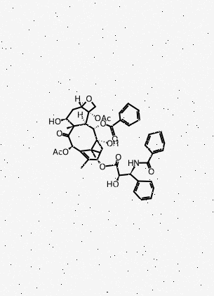 CC(=O)O[C@H]1C(=O)[C@@]2(C)[C@H]([C@H](OC(=O)c3ccccc3)[C@@]3(O)C[C@@H](OC(=O)[C@H](O)[C@@H](NC(=O)c4ccccc4)c4ccccc4)C(C)=C1C3(C)C)[C@]1(OC(C)=O)CO[C@H]1C[C@@H]2O